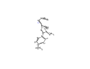 C=c1[nH]/c(=C\CCCC)cc1-c1ccc(C)cc1